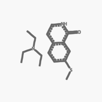 CCN(CC)CC.CSc1ccc2cc[nH]c(=O)c2c1